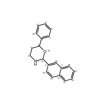 c1ccc(C2CCNC(c3ccc4ccccc4c3)O2)cc1